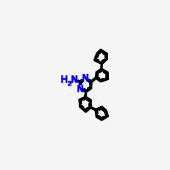 Nc1nc(-c2cccc(-c3ccccc3)c2)cc(-c2cccc(-c3ccccc3)c2)n1